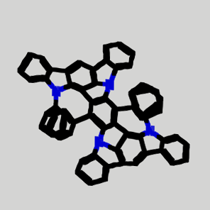 c1ccc(-c2c3c4c5c(cc6c7ccccc7n(c3c(-c3ccccc3)c3c7c8c(cc9c%10ccccc%10n(c23)c97)c2ccccc2n8-c2ccccc2)c64)c2ccccc2n5-c2ccccc2)cc1